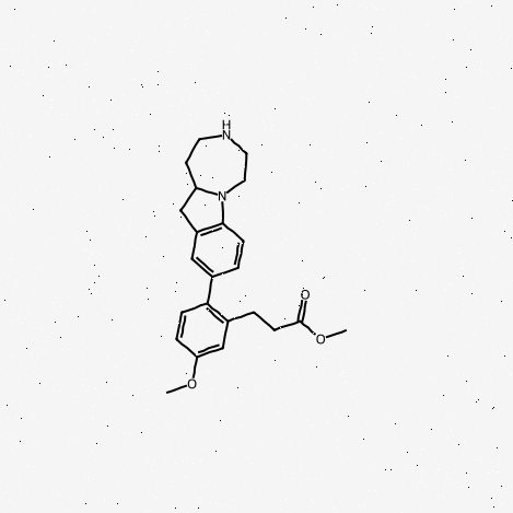 COC(=O)CCc1cc(OC)ccc1-c1ccc2c(c1)CC1CCNCCN21